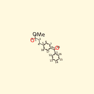 COC(=O)CCc1ccc(C(=O)c2ccccc2)cc1